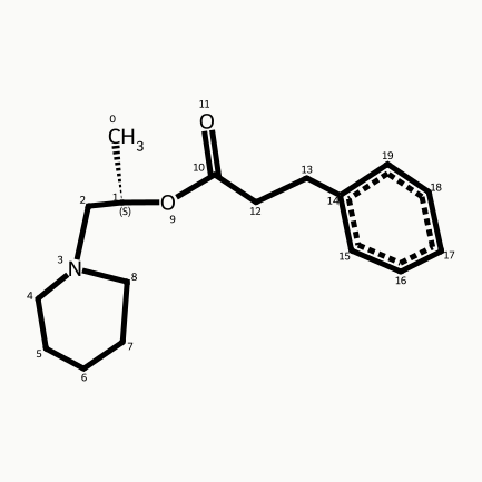 C[C@@H](CN1CCCCC1)OC(=O)CCc1ccccc1